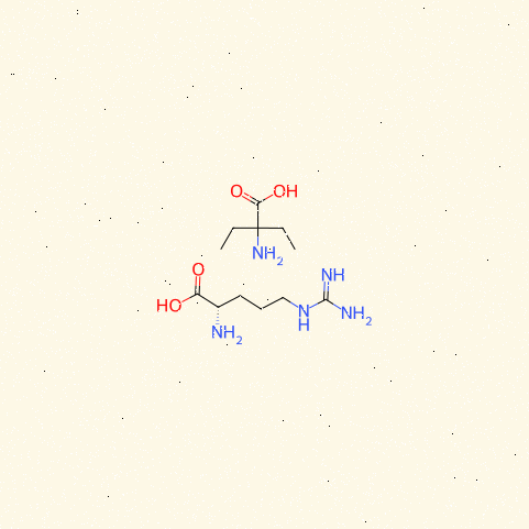 CCC(N)(CC)C(=O)O.N=C(N)NCCC[C@H](N)C(=O)O